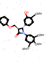 COc1ccc([C@H]2[C@H](COc3ccccc3)C(=O)N2c2cc(OC)c(OC)c(OC)c2)cc1O